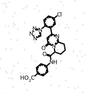 O=C(O)c1ccc(NC(=O)C2CCCc3nc(-c4cc(Cl)ccc4-n4cnnn4)cc(=O)n32)cc1